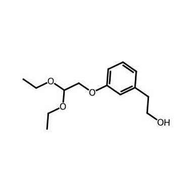 CCOC(COc1cccc(CCO)c1)OCC